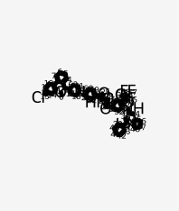 CO[C@@H](c1ccccc1-c1ccc(Cl)cc1)C1CCN(c2ccc(C(=O)NS(=O)(=O)c3ccc(N[C@@H](CSc4ccccc4)C[C@H]4CCCN4)c(S(=O)(=O)C(F)(F)F)c3)cc2)CC1